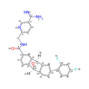 N=C(N)c1ccc(CNC(=O)c2ccc3c(c2)[C@@H]2O[C@H]3c3ccc(-c4ccc(F)cc4F)cc32)nc1